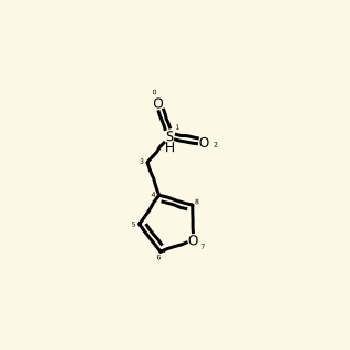 O=[SH](=O)Cc1c[c]oc1